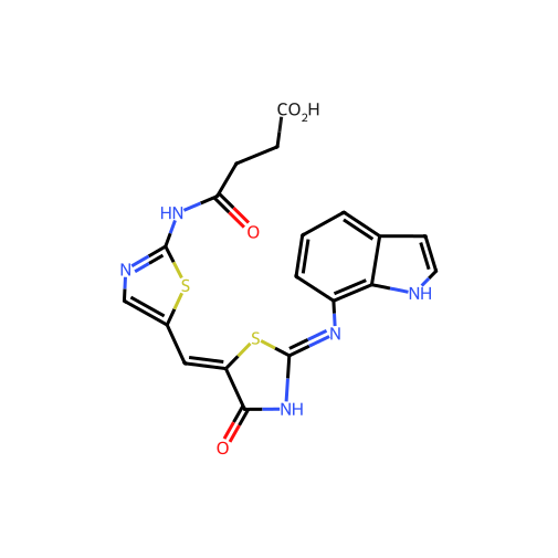 O=C(O)CCC(=O)Nc1ncc(/C=C2\SC(=Nc3cccc4cc[nH]c34)NC2=O)s1